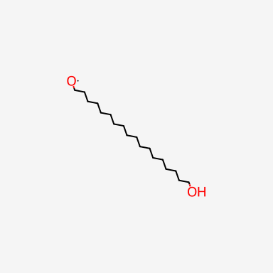 [O]CCCCCCCCCCCCCCCCCCO